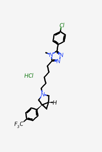 Cl.Cn1c(CCCCCN2C[C@@H]3C[C@]3(c3ccc(C(F)(F)F)cc3)C2)nnc1-c1ccc(Cl)cc1